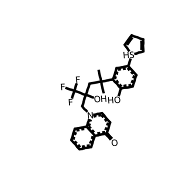 CC(C)(CC(O)(Cn1ccc(=O)c2ccccc21)C(F)(F)F)c1cc([SH]2C=CC=C2)ccc1O